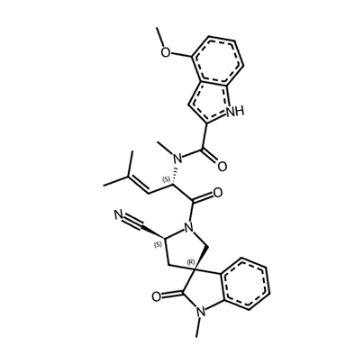 COc1cccc2[nH]c(C(=O)N(C)[C@@H](C=C(C)C)C(=O)N3C[C@]4(C[C@H]3C#N)C(=O)N(C)c3ccccc34)cc12